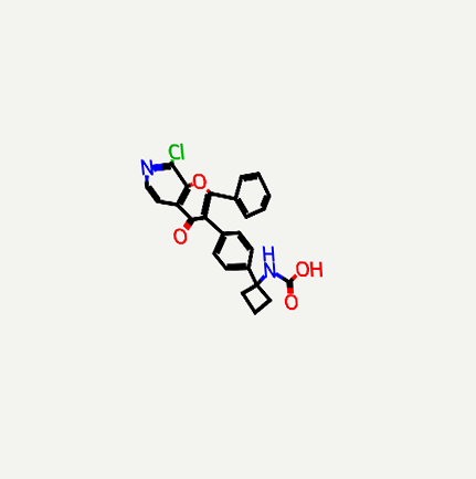 O=C(O)NC1(c2ccc(-c3c(-c4ccccc4)oc4c(Cl)nccc4c3=O)cc2)CCC1